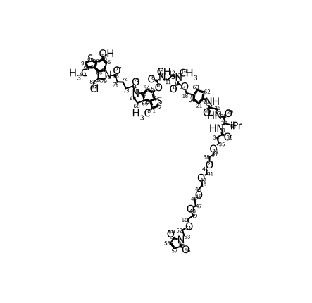 Cc1csc2c(OC(=O)N(C)CCN(C)C(=O)OCc3ccc(NC(=O)CNC(=O)C(NC(=O)CCOCCOCCOCCOCCOCCOCCN4C(=O)C=CC4=O)C(C)C)cc3)cc3c(c12)CCN3C(=O)CCCC(=O)N1C[C@@H](CCl)c2c1cc(O)c1scc(C)c21